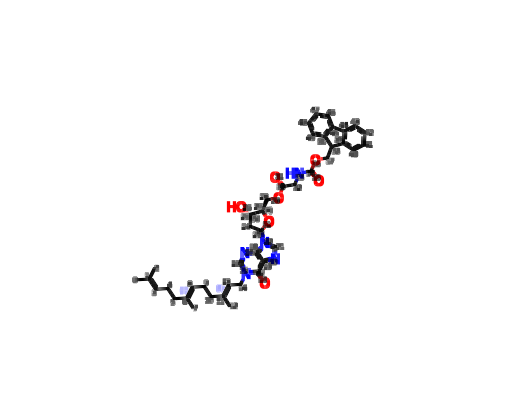 CC(C)=CCC/C(C)=C/CC/C(C)=C/Cn1cnc2c(ncn2[C@H]2C[C@H](O)[C@@H](COC(=O)CNC(=O)OCC3c4ccccc4-c4ccccc43)O2)c1=O